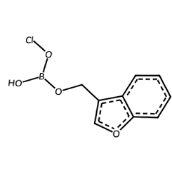 OB(OCl)OCc1coc2ccccc12